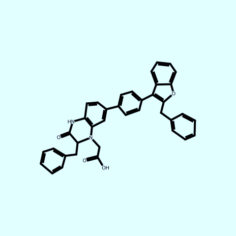 O=C(O)CN1c2cc(-c3ccc(-c4c(Cc5ccccc5)oc5ccccc45)cc3)ccc2NC(=O)C1Cc1ccccc1